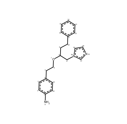 Nc1ccc(CCOC(CCc2ccccc2)Cn2ccnc2)cc1